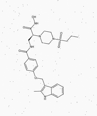 CCCS(=O)(=O)N1CCN([C@@H](CNC(=O)c2ccc(OCc3c(C)[nH]c4ccccc34)cc2)C(=O)NO)CC1